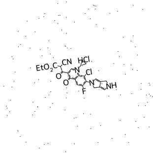 CCOC(=O)C(C#N)C(=O)c1cn(C2CC2)c2c(Cl)c(N3C=C4CNC=C4C3)c(F)cc2c1=O.Cl